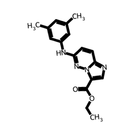 CCOC(=O)c1cnc2ccc(Nc3cc(C)cc(C)c3)nn12